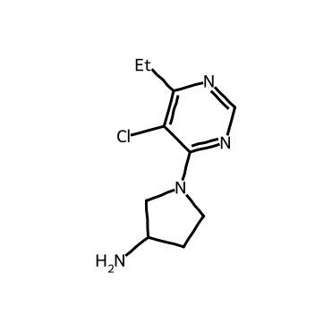 CCc1ncnc(N2CCC(N)C2)c1Cl